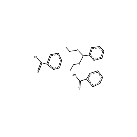 CCSC(SCC)c1ccccc1.OC(=S)c1ccccc1.OC(=S)c1ccccc1